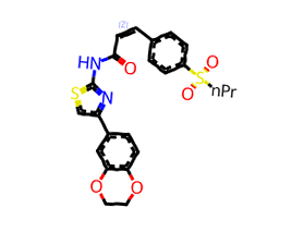 CCCS(=O)(=O)c1ccc(/C=C\C(=O)Nc2nc(-c3ccc4c(c3)OCCO4)cs2)cc1